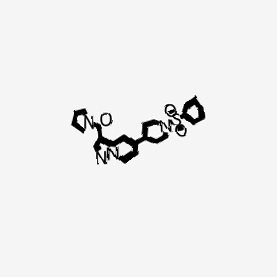 O=C(c1cnn2ccc(C3CCN(S(=O)(=O)c4ccccc4)CC3)cc12)N1CCCC1